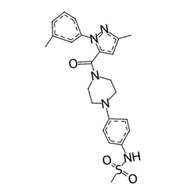 Cc1cccc(-n2nc(C)cc2C(=O)N2CCN(c3ccc(NS(C)(=O)=O)cc3)CC2)c1